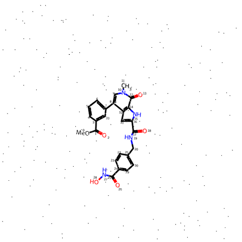 COC(=O)c1cccc(-c2cn(C)c(=O)c3[nH]c(C(=O)NCc4ccc(C(=O)NO)cc4)cc23)c1